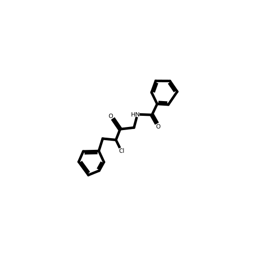 O=C(NCC(=O)C(Cl)Cc1ccccc1)c1ccccc1